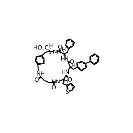 O=C1CCC(=O)N[C@@H](Cc2cccs2)C(=O)N[C@H](Cc2ccc(-c3ccccc3)cc2)C(=O)N[C@H](Cc2ccccc2)C(=O)N[C@@H](C(=O)O)Cc2ccc(cc2)N1